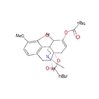 CCCCC(=O)OC1=CC[C@@]2(OC(=O)CCCC)[C@H]3Cc4ccc(OC)c5c4[C@@]2(CCN3C)[C@H]1O5